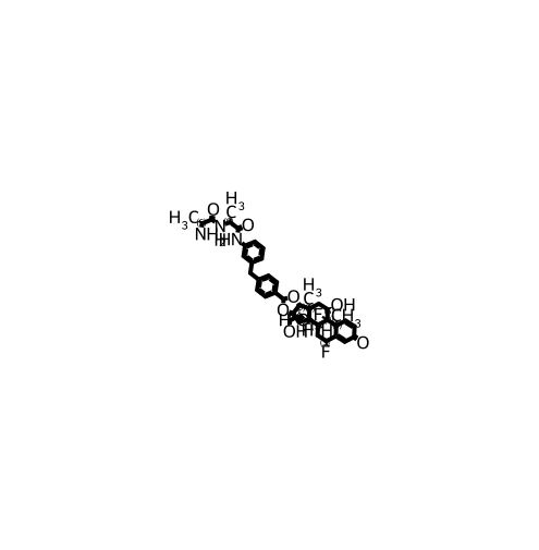 C[C@H](N)C(=O)N[C@@H](C)C(=O)Nc1cccc(Cc2ccc(C3O[C@@H]4C[C@H]5[C@@H]6C[C@H](F)C7=CC(=O)C=C[C@]7(C)[C@@]6(F)[C@@H](O)C[C@]5(C)[C@]4(C(=O)CO)O3)cc2)c1